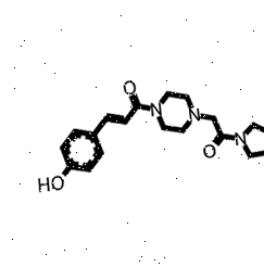 O=C(C=Cc1ccc(O)cc1)N1CCN(CC(=O)N2CCCC2)CC1